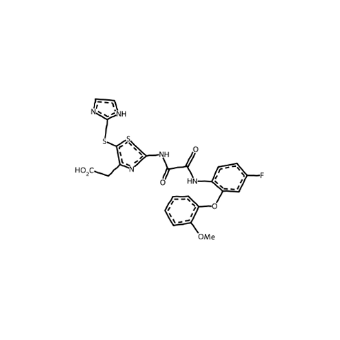 COc1ccccc1Oc1cc(F)ccc1NC(=O)C(=O)Nc1nc(CC(=O)O)c(Sc2ncc[nH]2)s1